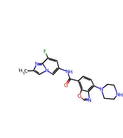 Cc1cn2cc(NC(=O)c3ccc(N4CCNCC4)c4ncoc34)cc(F)c2n1